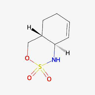 O=S1(=O)N[C@@H]2C=CCC[C@H]2CO1